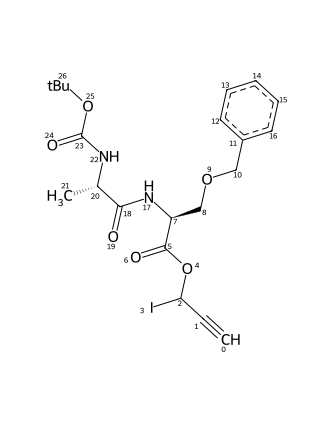 C#CC(I)OC(=O)[C@H](COCc1ccccc1)NC(=O)[C@H](C)NC(=O)OC(C)(C)C